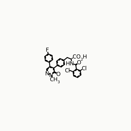 Cn1ncc(-c2ccc(F)cc2)c(-c2ccc(C[C@H](NC(=O)c3c(Cl)cccc3Cl)C(=O)O)cc2)c1=O